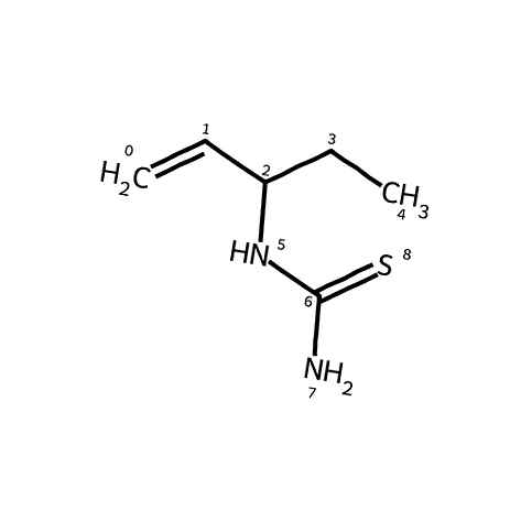 C=CC(CC)NC(N)=S